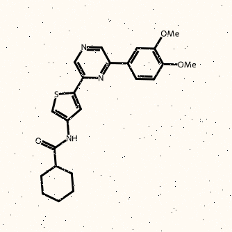 COc1ccc(-c2cncc(-c3cc(NC(=O)C4CCCCC4)cs3)n2)cc1OC